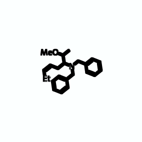 CC/C=C\CC(C(C)OC)N(Cc1ccccc1)Cc1ccccc1